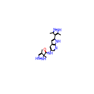 CC1=CNNC1(C)C(=O)Nc1cnc2[nH]c(-c3c(C)n[nH]c3C)cc2c1